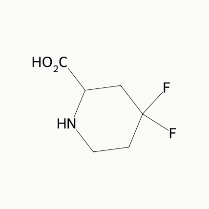 O=C(O)C1CC(F)(F)CCN1